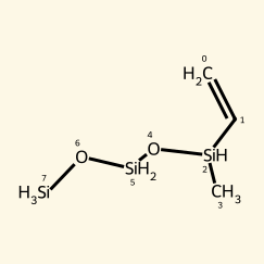 C=C[SiH](C)O[SiH2]O[SiH3]